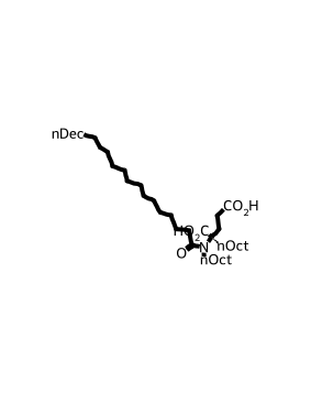 CCCCCCCCCCCCCCCCCCCCCCCC(=O)N(CCCCCCCC)[C@](CCCCCCCC)(CCC(=O)O)C(=O)O